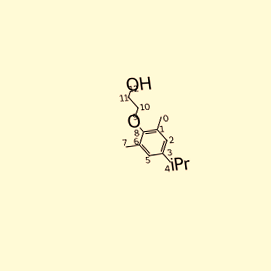 Cc1cc(C(C)C)cc(C)c1OCCO